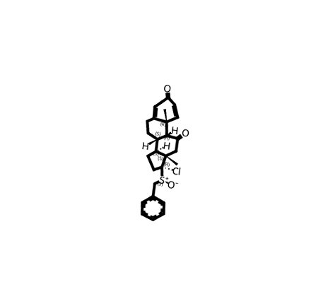 C[C@]12C=CC(=O)C=C1CC[C@@H]1[C@H]2C(=O)C[C@@]2(C)[C@H]1CC[C@]2(Cl)[S@+]([O-])Cc1ccccc1